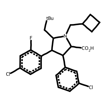 CC(C)(C)CC1C(c2ccc(Cl)cc2F)C(c2cccc(Cl)c2)C(C(=O)O)N1CC1CCC1